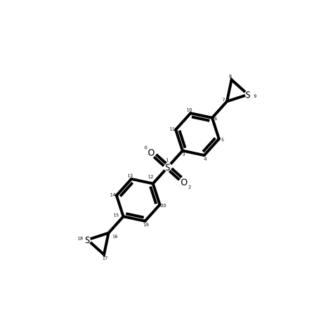 O=S(=O)(c1ccc(C2CS2)cc1)c1ccc(C2CS2)cc1